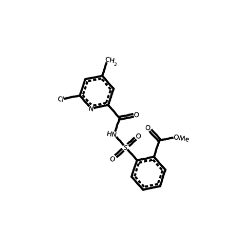 COC(=O)c1ccccc1S(=O)(=O)NC(=O)c1cc(C)cc(Cl)n1